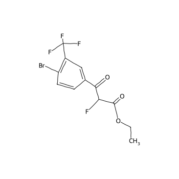 CCOC(=O)C(F)C(=O)c1ccc(Br)c(C(F)(F)F)c1